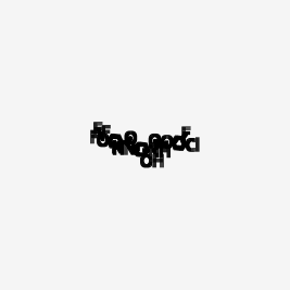 O=C(COc1ccc(Cl)c(F)c1)NC12CCC(NC(=O)c3ccc(OC(F)(F)F)cn3)(CC1)CC2O